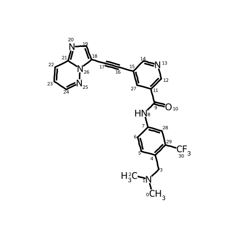 CN(C)Cc1ccc(NC(=O)c2cncc(C#Cc3cnc4cccnn34)c2)cc1C(F)(F)F